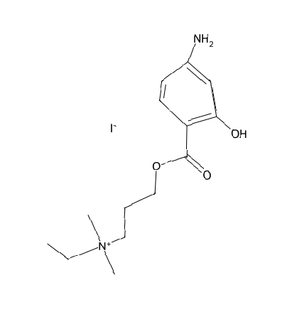 CC[N+](C)(C)CCCOC(=O)c1ccc(N)cc1O.[I-]